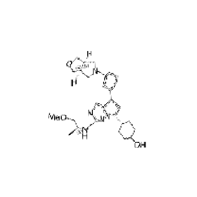 COC[C@H](C)Nc1ncc2c(-c3cccc(N4C[C@H]5COC[C@H]5C4)c3)cc([C@H]3CC[C@H](O)CC3)n2n1